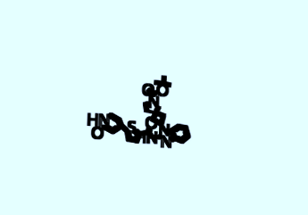 CC(C)(C)OC(=O)N1CC[C@]2(C1)C[C@H](n1c(NC(=O)c3ccc(-c4cc[nH]c(=O)c4)s3)nc3ccccc31)C2